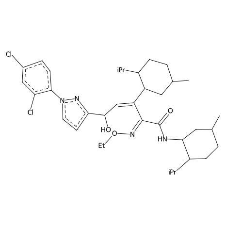 CCO/N=C(C(=O)NC1CC(C)CCC1C(C)C)\C(=C/C(O)c1ccn(-c2ccc(Cl)cc2Cl)n1)C1CC(C)CCC1C(C)C